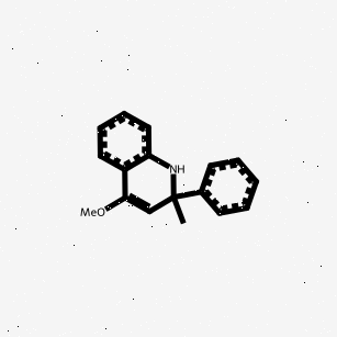 COC1=CC(C)(c2ccccc2)Nc2ccccc21